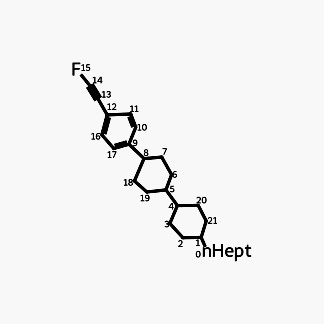 CCCCCCCC1CCC(C2CCC(c3ccc(C#CF)cc3)CC2)CC1